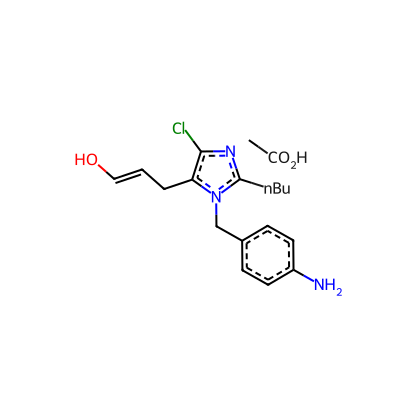 CC(=O)O.CCCCc1nc(Cl)c(CC=CO)n1Cc1ccc(N)cc1